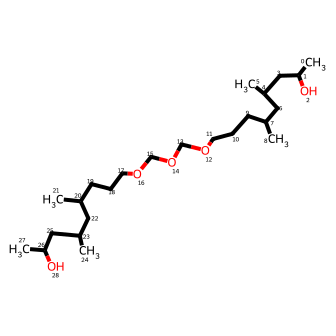 CC(O)CC(C)CC(C)CCCOCOCOCCCC(C)CC(C)CC(C)O